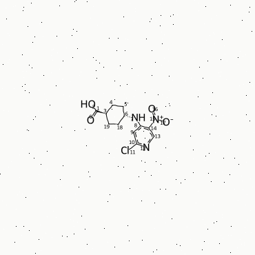 O=C(O)[C@H]1CC[C@H](Nc2cc(Cl)ncc2[N+](=O)[O-])CC1